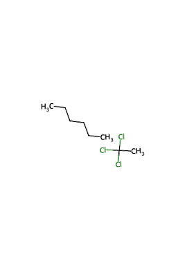 CC(Cl)(Cl)Cl.CCCCCC